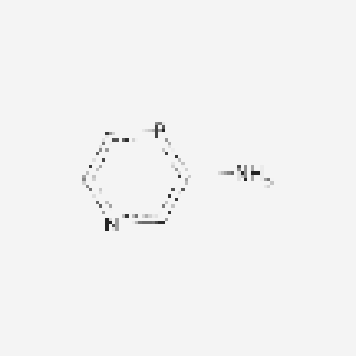 Nc1cnccp1